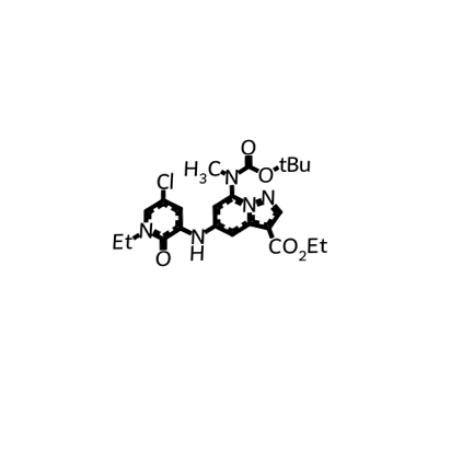 CCOC(=O)c1cnn2c(N(C)C(=O)OC(C)(C)C)cc(Nc3cc(Cl)cn(CC)c3=O)cc12